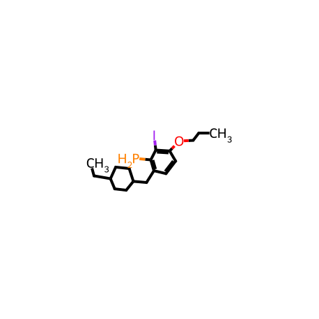 CCCOc1ccc(CC2CCC(CC)CC2)c(P)c1I